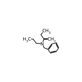 C=C(CC)N(CCC)Cc1ccccc1